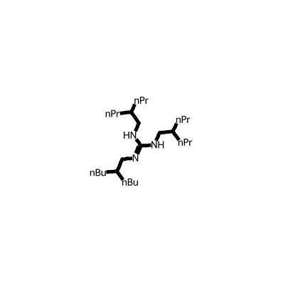 CCCCC(CCCC)CN=C(NCC(CCC)CCC)NCC(CCC)CCC